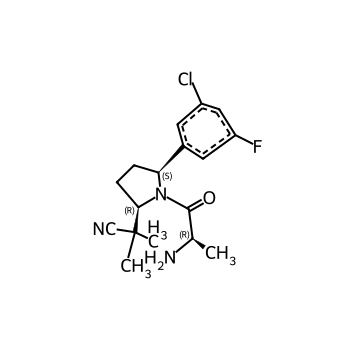 C[C@@H](N)C(=O)N1[C@H](c2cc(F)cc(Cl)c2)CC[C@@H]1C(C)(C)C#N